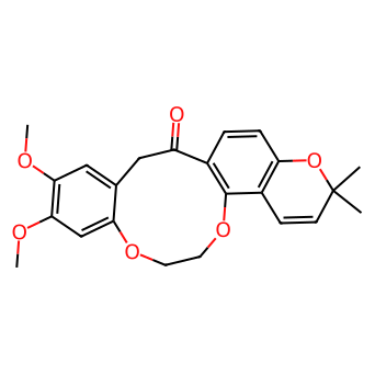 COc1cc2c(cc1OC)OCCOc1c(ccc3c1C=CC(C)(C)O3)C(=O)C2